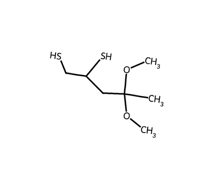 COC(C)(CC(S)CS)OC